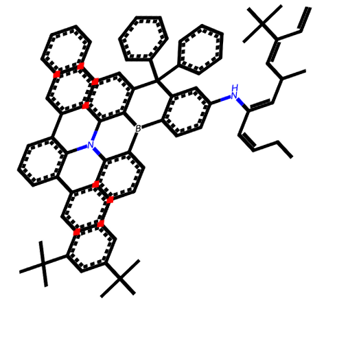 C=C/C(=C\C(C)/C=C(/C=C\CC)Nc1ccc2c(c1)C(c1ccccc1)(c1ccccc1)c1cc(-c3ccccc3)cc3c1B2c1ccc(-c2cc(C(C)(C)C)cc(C(C)(C)C)c2)cc1N3c1c(-c2ccccc2)cccc1-c1ccccc1)C(C)(C)C